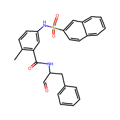 Cc1ccc(NS(=O)(=O)c2ccc3ccccc3c2)cc1C(=O)NC(C=O)Cc1ccccc1